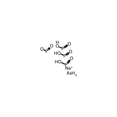 O=PO.O=PO.O=PO.O=P[O-].[AsH3].[Na+]